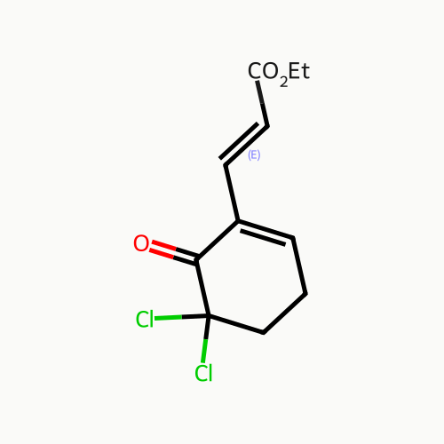 CCOC(=O)/C=C/C1=CCCC(Cl)(Cl)C1=O